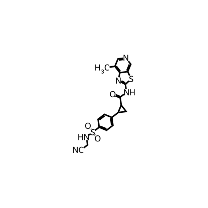 Cc1cncc2sc(NC(=O)C3CC3c3ccc(S(=O)(=O)NCC#N)cc3)nc12